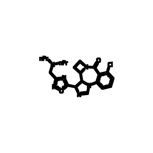 CCCN(CCC)Cc1noc(C2N=CN3c4cccc(Cl)c4C(=O)N4CCC4C23)n1